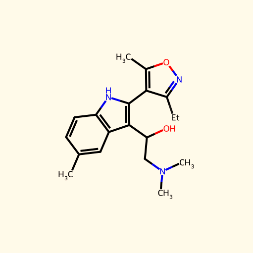 CCc1noc(C)c1-c1[nH]c2ccc(C)cc2c1C(O)CN(C)C